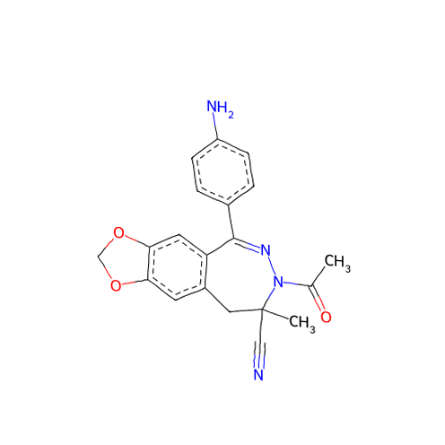 CC(=O)N1N=C(c2ccc(N)cc2)c2cc3c(cc2CC1(C)C#N)OCO3